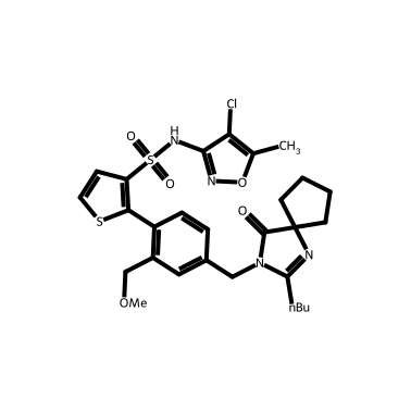 CCCCC1=NC2(CCCC2)C(=O)N1Cc1ccc(-c2sccc2S(=O)(=O)Nc2noc(C)c2Cl)c(COC)c1